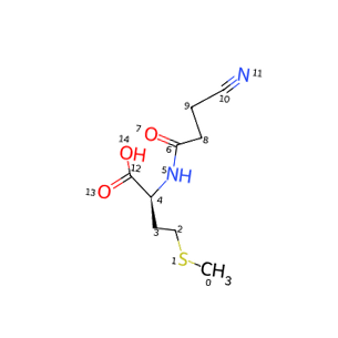 CSCC[C@H](NC(=O)CCC#N)C(=O)O